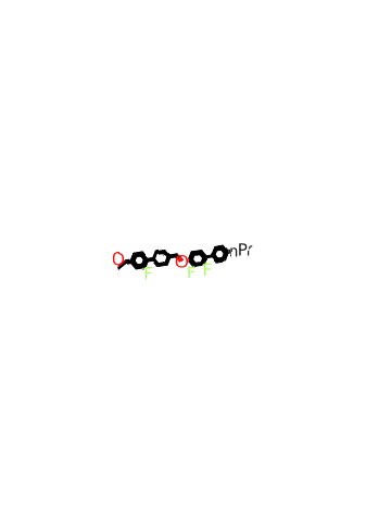 CCCc1ccc(-c2ccc(OCC3CCC(c4ccc(C5CO5)cc4F)CC3)c(F)c2F)cc1